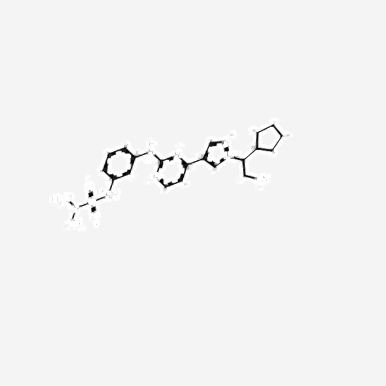 CN(C)S(=O)(=O)Nc1cccc(Nc2nccc(-c3cnn(C(CC#N)C4CCCC4)c3)n2)c1